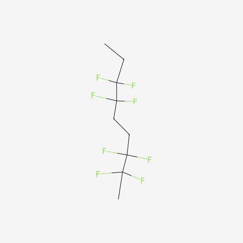 CCC(F)(F)C(F)(F)CCC(F)(F)C(C)(F)F